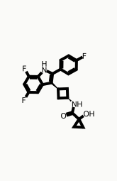 O=C(N[C@H]1C[C@H](c2c(-c3ccc(F)cc3)[nH]c3c(F)cc(F)cc32)C1)C1(O)CC1